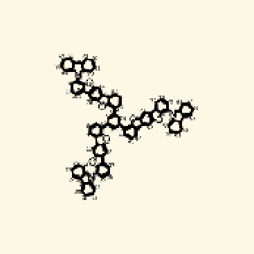 c1cc(-c2cc(-c3cccc4c3oc3cc5c(cc34)oc3c(-n4c6ccccc6c6ccccc64)cccc35)cc(-c3cccc4c3oc3cc5c(cc34)oc3c(-n4c6ccccc6c6ccccc64)cccc35)c2)c2oc3cc4c(cc3c2c1)oc1c(-n2c3ccccc3c3ccccc32)cccc14